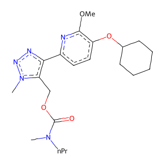 CCCN(C)C(=O)OCc1c(-c2ccc(OC3CCCCC3)c(OC)n2)nnn1C